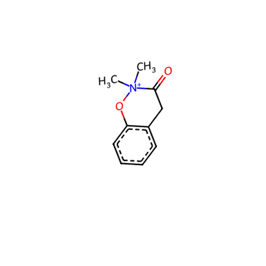 C[N+]1(C)Oc2ccccc2CC1=O